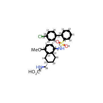 COc1ccc(NS(=O)(=O)c2ccccc2-c2ccc(Cl)cc2)c2c1C[C@@H](CNC(=O)O)CC2